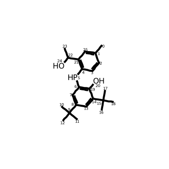 Cc1ccc(Pc2cc(C(C)(C)C)cc(C(C)(C)C)c2O)c(C(C)O)c1